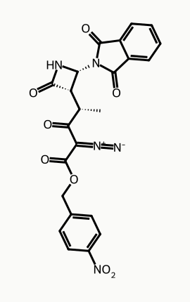 C[C@H](C(=O)C(=[N+]=[N-])C(=O)OCc1ccc([N+](=O)[O-])cc1)[C@@H]1C(=O)N[C@@H]1N1C(=O)c2ccccc2C1=O